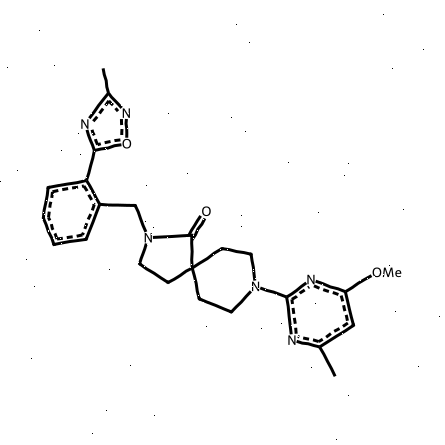 COc1cc(C)nc(N2CCC3(CCN(Cc4ccccc4-c4nc(C)no4)C3=O)CC2)n1